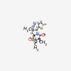 CN1C(=O)[C@]23C[C@@](C)(C#N)C(c4cccs4)N2C(=O)[C@@]1(C)S3=S